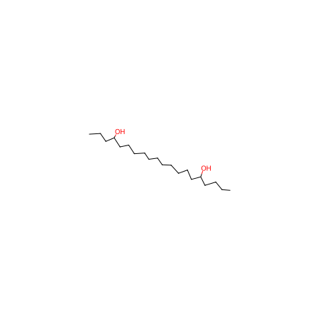 CCCCC(O)CCCCCCCCCCCC(O)CCC